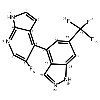 Fc1cnc2[nH]ccc2c1-c1cc(C(F)(F)F)cc2[nH]ncc12